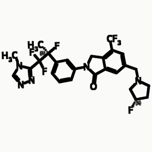 Cn1cnnc1C(F)(F)[C@@](C)(F)c1cccc(N2Cc3c(cc(CN4CC[C@H](F)C4)cc3C(F)(F)F)C2=O)c1